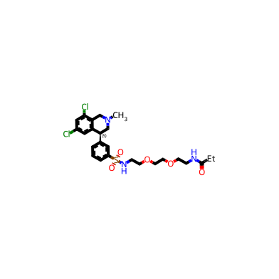 CCC(=O)NCCOCCOCCNS(=O)(=O)c1cccc([C@@H]2CN(C)Cc3c(Cl)cc(Cl)cc32)c1